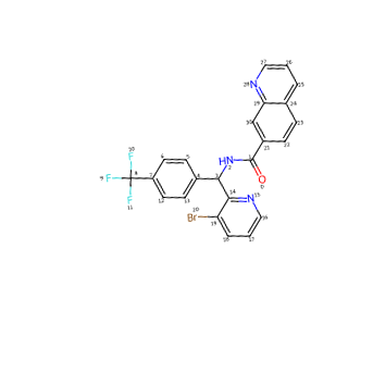 O=C(NC(c1ccc(C(F)(F)F)cc1)c1ncccc1Br)c1ccc2cccnc2c1